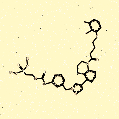 CCOP(=O)(CCNC(=O)Nc1cccc(Cn2cc(-c3cccc4c3CCCN4C(=O)CCCOc3cccc(C)c3C)cn2)c1)OCC